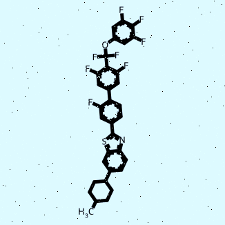 CC1CCC(c2ccc3nc(-c4ccc(-c5cc(F)c(C(F)(F)Oc6cc(F)c(F)c(F)c6)c(F)c5)c(F)c4)sc3c2)CC1